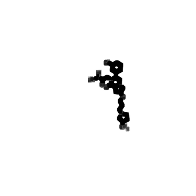 CC(C)NC(=O)Cn1c(-c2cccc(Cl)c2)cn2cc(OCCCN3CCC(C(F)(F)F)C3)cc2c1=O